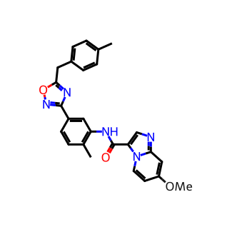 COc1ccn2c(C(=O)Nc3cc(-c4noc(Cc5ccc(C)cc5)n4)ccc3C)cnc2c1